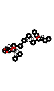 c1ccc(-c2ccc(N(c3ccc(-c4ccc5c(c4)oc4c(N(c6ccccc6-c6ccc7oc8c9ccccc9ccc8c7c6)c6cccc7ccccc67)cccc45)cc3-c3ccc4oc5c6ccccc6ccc5c4c3)c3cccc4c3oc3ccccc34)cc2)cc1